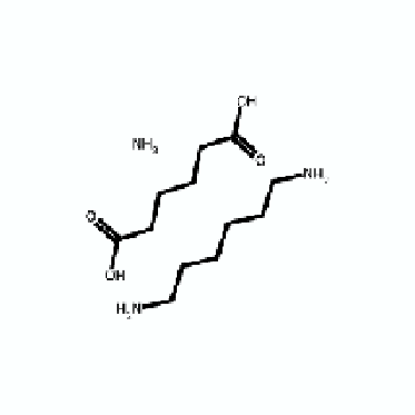 N.NCCCCCCN.O=C(O)CCCCC(=O)O